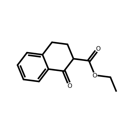 CCOC(=O)C1CCc2ccccc2C1=O